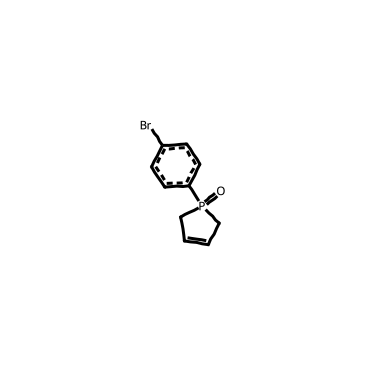 O=P1(c2ccc(Br)cc2)CC=CC1